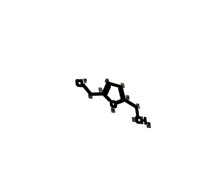 CCc1ccc(CCl)o1